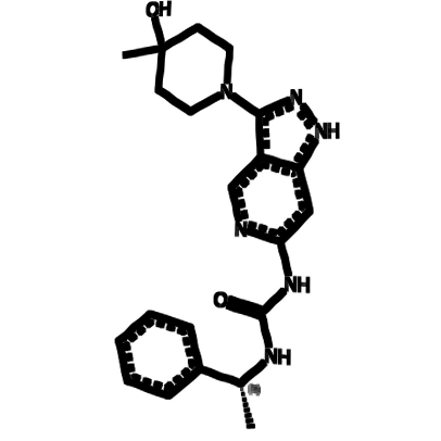 C[C@@H](NC(=O)Nc1cc2[nH]nc(N3CCC(C)(O)CC3)c2cn1)c1ccccc1